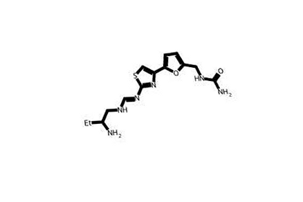 CCC(N)CNC=Nc1nc(-c2ccc(CNC(N)=O)o2)cs1